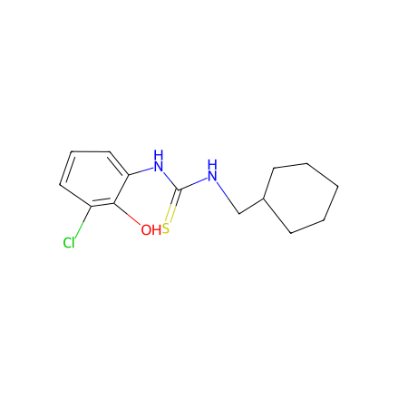 Oc1c(Cl)cccc1NC(=S)NCC1CCCCC1